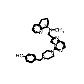 CN(Cc1cn2c(N3CCN(Cc4ccc(O)cc4)CC3)nccc2n1)[C@H]1CCCc2cccnc21